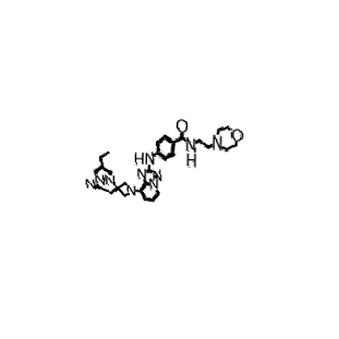 CCc1cnn(C2(CC#N)CN(c3cccn4nc(Nc5ccc(C(=O)NCCN6CCOCC6)cc5)nc34)C2)c1